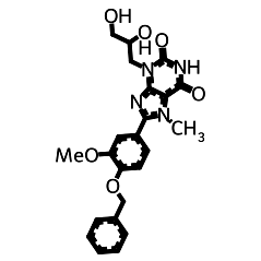 COc1cc(-c2nc3c(c(=O)[nH]c(=O)n3CC(O)CO)n2C)ccc1OCc1ccccc1